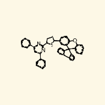 c1ccc(-c2cc(-c3ccccc3)nc(C3CCC(c4ccc5c(c4)C4(c6ccccc6O5)c5ccccc5-c5ccccc54)S3)n2)cc1